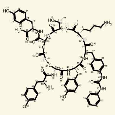 C[C@@H](O)[C@@H]1NC(=O)[C@H](CCCCN)NC(=O)[C@@H](Cc2ccc(NC(=O)Nc3ccccc3)cc2)NC(=O)[C@H](Cc2ccc(O)cc2)NC(=O)[C@H](NC(=O)[C@@H](N)Cc2ccc(Cl)cc2)CNC(=O)C[C@@H](C(=O)N[C@H](Cc2ccc(O)cc2)C(N)=O)NC1=O